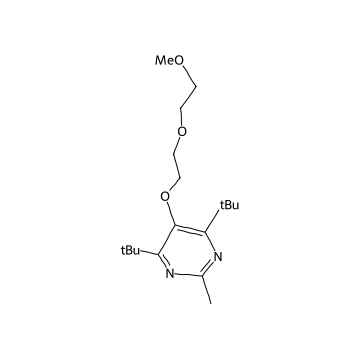 COCCOCCOc1c(C(C)(C)C)nc(C)nc1C(C)(C)C